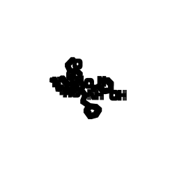 Cn1cnc(S(=O)(=O)N(CC2CCCO2)CC(O)C(Cc2ccccc2)NC(=O)c2cc(O)ccn2)c1